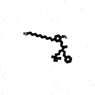 CCCCCCCCCCOc1cccc(CCC(=O)N(CCOP(=O)(O)O)CCc2ccccc2)c1.N